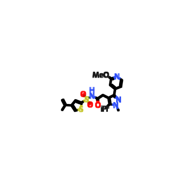 C=C(C)c1csc(S(=O)(=O)NC(=O)Cc2c(-c3ccnc(OC)c3)nn(C)c2C(C)C)c1